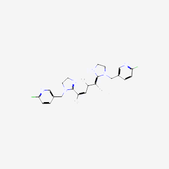 COC(/C=C(\C1=NCCN1Cc1ccc(Cl)nc1)[N+](=O)[O-])/C(=C1\NCCN1Cc1ccc(Cl)nc1)[N+](=O)[O-]